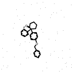 O=C1CCCCC1(c1ccc(OCc2ccccc2)cc1)c1ccccc1F